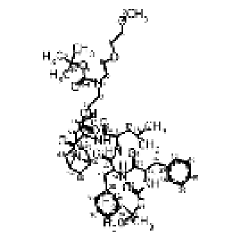 COCCOCCN(CCCCC(NC(=O)C(CC(C)C)NC(=O)C(Cc1ccccc1)NC(=O)C(Cc1ccccc1)NC(=O)OC(C)(C)C)C(=O)N1C2CC1CN(CC(=O)O)C2)C(=O)OC(C)(C)C